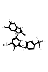 Cc1nc2cc(F)c(F)cc2n1-c1cc(N)c(F)c(Nc2ccc(C(F)(F)F)cc2)n1